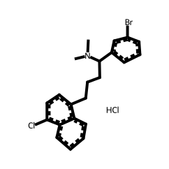 CN(C)C(CCCc1ccc(Cl)c2ccccc12)c1cccc(Br)c1.Cl